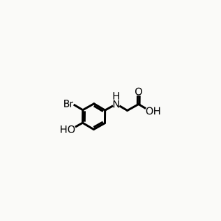 O=C(O)CNc1ccc(O)c(Br)c1